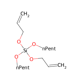 C=CCO[Si](OCC=C)(OCCCCC)OCCCCC